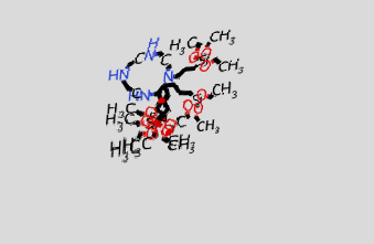 CCO[Si](CCCC1NCCCNCCNCCCN(CCC[Si](OCC)(OCC)OCC)C1(CCC[Si](OCC)(OCC)OCC)CCC[Si](OCC)(OCC)OCC)(OCC)OCC